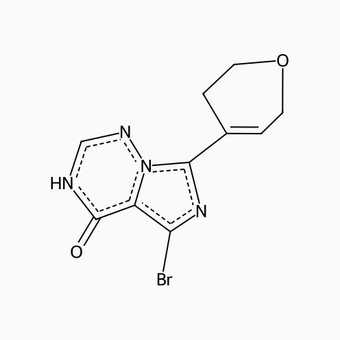 O=c1[nH]cnn2c(C3=CCOCC3)nc(Br)c12